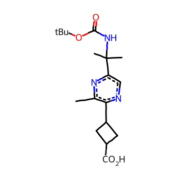 Cc1nc(C(C)(C)NC(=O)OC(C)(C)C)cnc1C1CC(C(=O)O)C1